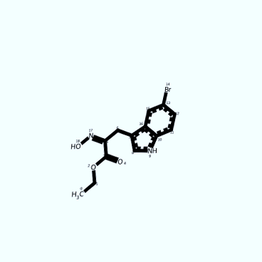 CCOC(=O)/C(Cc1c[nH]c2ccc(Br)cc12)=N\O